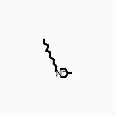 CCCCCCCCCC[N+]1(C)CCC(C)CC1